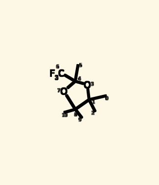 CC1(C)OC(C)(C(F)(F)F)OC1(C)C